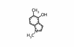 Cc1ccc2c(ccn2C)c1O